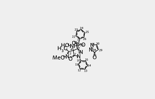 CON=C(C)C1(NO)C(=O)N(c2ccccc2)N=C1S(=O)(=O)c1ccccc1.O=C1C=CN=N1